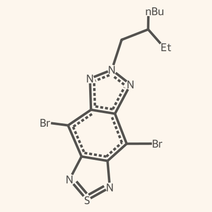 CCCCC(CC)Cn1nc2c(Br)c3c(c(Br)c2n1)N=S=N3